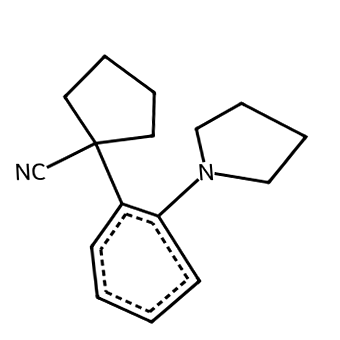 N#CC1(c2ccccc2N2CCCC2)CCCC1